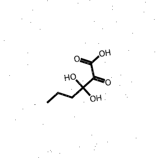 CCCC(O)(O)C(=O)C(=O)O